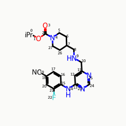 CC(C)OC(=O)N1CCC(CNCc2cc(Nc3ccc(C#N)cc3F)ncn2)CC1